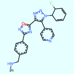 CC(C)NCc1ccc(-c2noc(-c3nnn(C4C=CC=CC4F)c3-c3ccncc3)n2)cc1